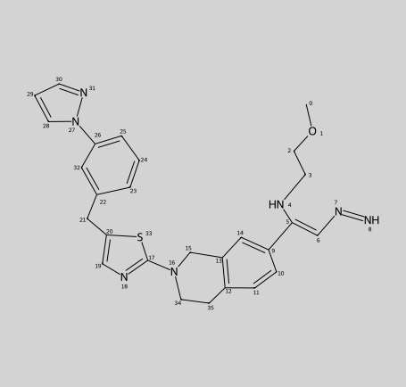 COCCN/C(=C\N=N)c1ccc2c(c1)CN(c1ncc(Cc3cccc(-n4cccn4)c3)s1)CC2